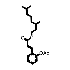 CC(=O)Oc1ccccc1C=CC(=O)OCCC(C)CCC=C(C)C